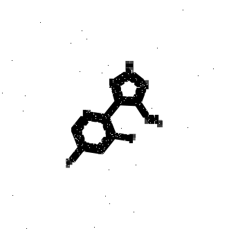 Nc1n[nH]nc1-c1ncc(F)cc1F